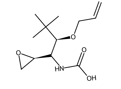 C=CCO[C@@H](C(NC(=O)O)[C@H]1CO1)C(C)(C)C